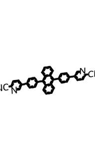 N#Cc1ccc(-c2ccc(-c3c4ccccc4c(-c4ccc(-c5ccc(C#N)nc5)cc4)c4ccccc34)cc2)cn1